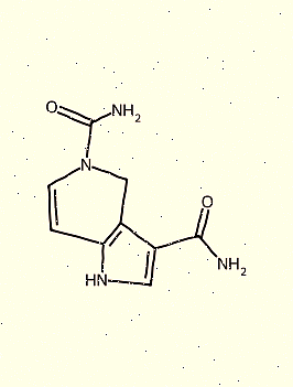 NC(=O)c1c[nH]c2c1CN(C(N)=O)C=C2